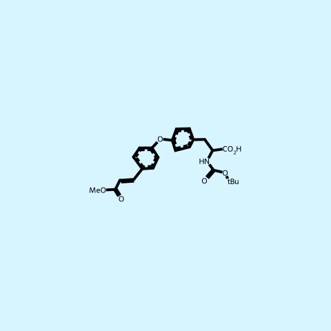 COC(=O)C=Cc1ccc(Oc2ccc(CC(NC(=O)OC(C)(C)C)C(=O)O)cc2)cc1